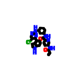 C=CC(=O)Nc1ccc(C(=O)N[C@H]2CCC[C@@H](Nc3ncc(Cl)c(-c4cccc5[nH]ccc45)n3)C2)nc1